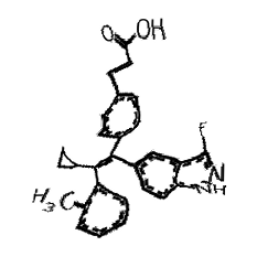 Cc1ccccc1C(=C(c1ccc(C=CC(=O)O)cc1)c1ccc2[nH]nc(F)c2c1)C1CC1